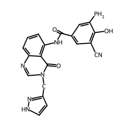 N#Cc1cc(C(=O)Nc2cccc3ncn(Cc4cc[nH]n4)c(=O)c23)cc(P)c1O